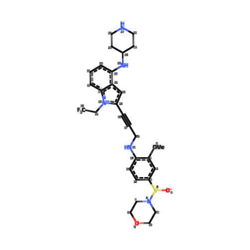 COc1cc([S+]([O-])N2CCOCC2)ccc1NCC#Cc1cc2c(NC3CCNCC3)cccc2n1CC(F)(F)F